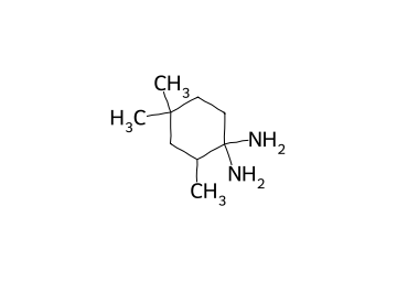 CC1CC(C)(C)CCC1(N)N